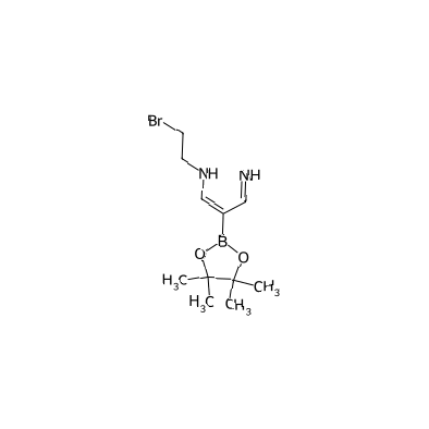 CC1(C)OB(/C(C=N)=C/NCCBr)OC1(C)C